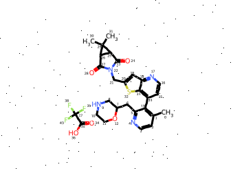 Cc1ccnc(CC2CNCCO2)c1-c1ccnc2cc(CN3C(=O)C4C(C3=O)C4(C)C)sc12.O=C(O)C(F)(F)F